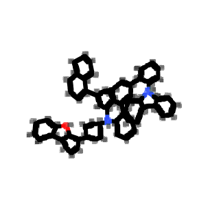 c1cc(-c2ccccc2N(c2ccc(-c3cccc4c3oc3ccccc34)cc2)c2cccc(-c3cccc4ccccc34)c2)cc(-c2ccccc2-n2c3ccccc3c3ccccc32)c1